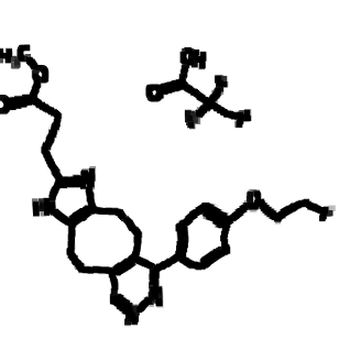 COC(=O)CCc1nc2c([nH]1)CCc1cnnc(-c3ccc(OCCF)cc3)c1CC2.O=C(O)C(F)(F)F